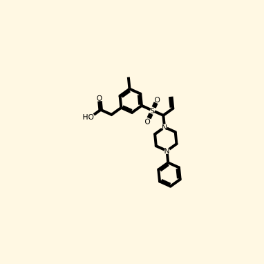 C=CC(N1CCN(c2ccccc2)CC1)S(=O)(=O)c1cc(C)cc(CC(=O)O)c1